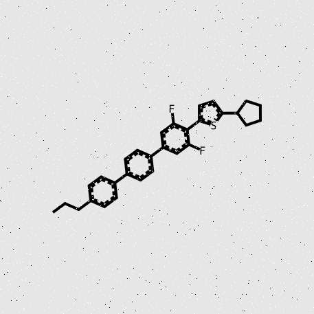 CCCc1ccc(-c2ccc(-c3cc(F)c(-c4ccc(C5CCCC5)s4)c(F)c3)cc2)cc1